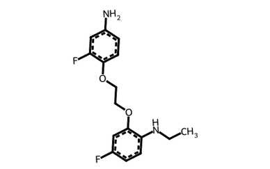 CCNc1ccc(F)cc1OCCOc1ccc(N)cc1F